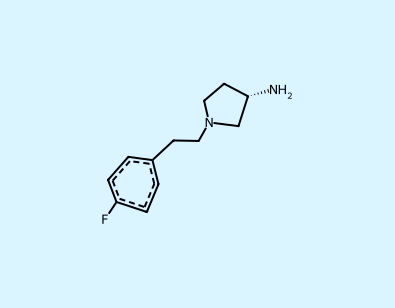 N[C@H]1CCN(CCc2ccc(F)cc2)C1